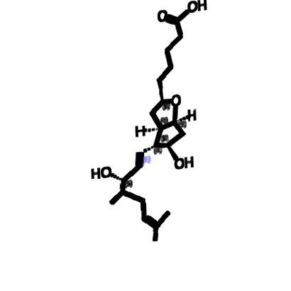 CC(C)=CCC(C)[C@H](O)/C=C/[C@@H]1[C@H]2C[C@@H](CCCCC(=O)O)O[C@H]2C[C@H]1O